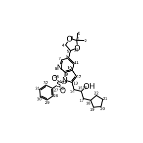 CC1(C)OCC(c2cnc3c(c2)cc(CC(O)CC2CCCC2)n3S(=O)(=O)c2ccccc2)O1